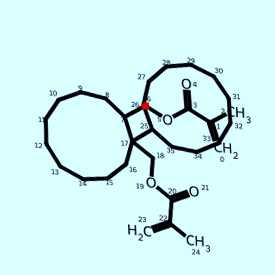 C=C(C)C(=O)OCC1CCCCCCCCCC1(COC(=O)C(=C)C)C1CCCCCCCCCC1